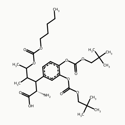 CCCCCOC(=O)OC(C)C(C)C(c1ccc(OC(=O)OCC(C)(C)C)c(OC(=O)OCC(C)(C)C)c1)[C@H](N)C(=O)O